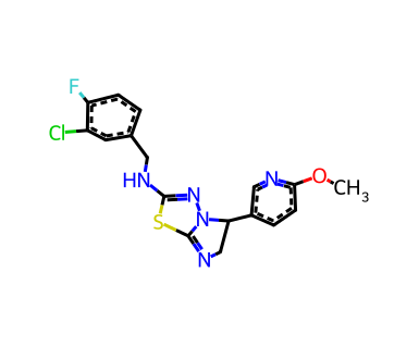 COc1ccc(C2CN=C3SC(NCc4ccc(F)c(Cl)c4)=NN32)cn1